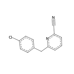 N#Cc1cccc(Cc2ccc(Cl)cc2)n1